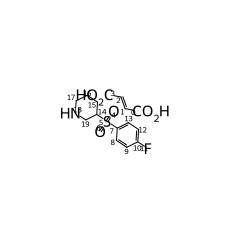 O=C(O)C=CC(=O)O.O=S(=O)(c1ccc(F)cc1)C1CCCNC1